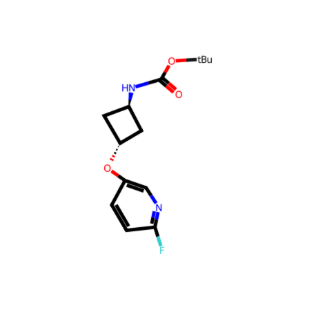 CC(C)(C)OC(=O)N[C@H]1C[C@H](Oc2ccc(F)nc2)C1